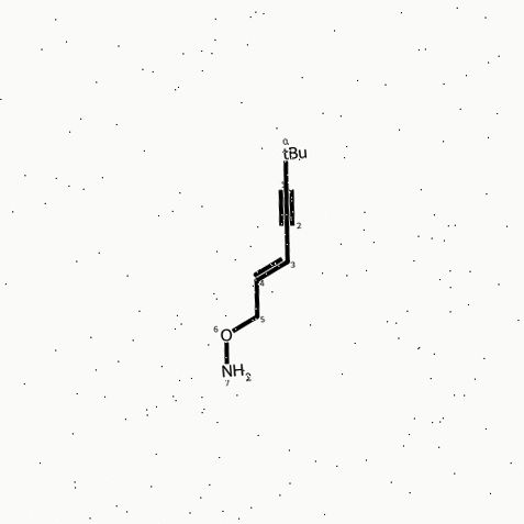 CC(C)(C)C#CC=CCON